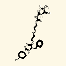 CC(C)[C@H]1CC[C@H](C(=O)N[C@H](Cc2ccccc2)C(=O)OCCSSCCOC(=O)NC(=N)NC(=N)N(C)C)CC1